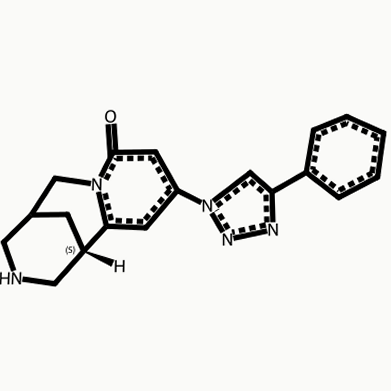 O=c1cc(-n2cc(-c3ccccc3)nn2)cc2n1CC1CNC[C@@H]2C1